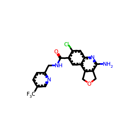 Nc1nc2cc(Cl)c(C(=O)NCc3ccc(C(F)(F)F)cn3)cc2c2c1COC2